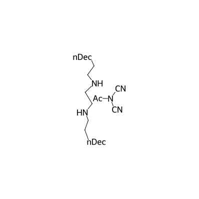 CC(=O)N(C#N)C#N.CCCCCCCCCCCCNCCNCCCCCCCCCCCC